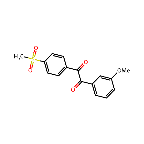 COc1cccc(C(=O)C(=O)c2ccc(S(C)(=O)=O)cc2)c1